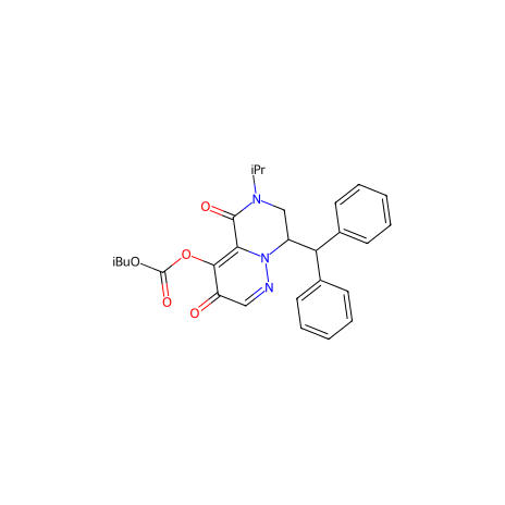 CC(C)COC(=O)Oc1c2n(ncc1=O)C(C(c1ccccc1)c1ccccc1)CN(C(C)C)C2=O